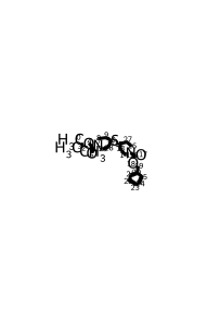 CC(C)(C)OC(=O)N1CCC(SC2CCN(C(=O)OCc3ccccc3)CC2)CC1